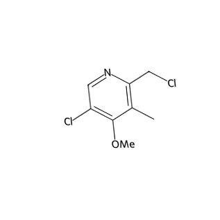 COc1c(Cl)cnc(CCl)c1C